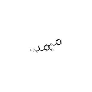 COC(=O)Cc1ccc(OCc2ccccc2)c(Cl)c1